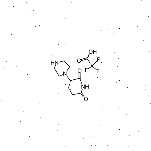 O=C(O)C(F)(F)F.O=C1CCC(N2CCNCC2)C(=O)N1